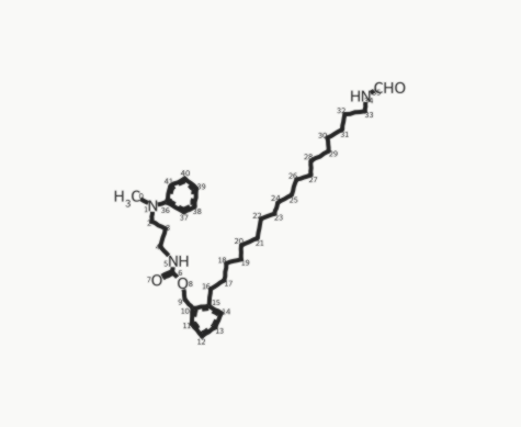 CN(CCCNC(=O)OCc1ccccc1CCCCCCCCCCCCCCCCCCNC=O)c1ccccc1